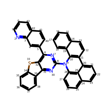 c1cnc2cc(-c3nc(N4c5c(ccc6ccccc56)-c5cccc6cccc4c56)nc4c3sc3ccccc34)ccc2c1